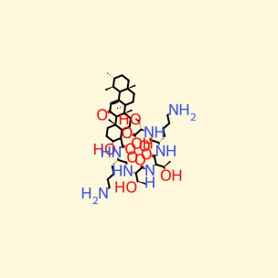 C[C@@H]1CC[C@]2(C)CC[C@]3(C)C(=CC(=O)C4[C@@]5(C)CC[C@@H](O)[C@](C)(C(=O)N[C@@H](CCCCN)C(=O)N[C@H](C(=O)N[C@H](C(=O)N[C@@H](CCCCN)C(=O)N[C@@H](CO)C(=O)O)[C@@H](C)O)[C@@H](C)O)C5CC[C@]43C)C2[C@H]1C